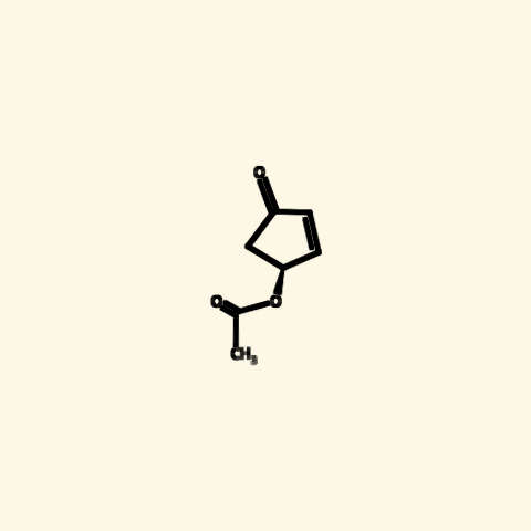 CC(=O)O[C@@H]1C=CC(=O)C1